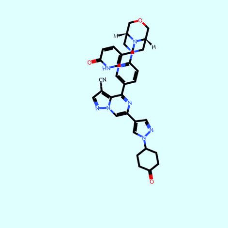 N#Cc1cnn2cc(-c3cnn(C4CCC(=O)CC4)c3)nc(-c3ccc(N4C[C@H]5COC[C@@H](C4)N5Cc4ccc(=O)[nH]c4)nc3)c12